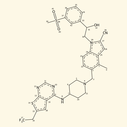 Cc1c(CN2CCC(Nc3ncnc4sc(CC(F)(F)F)cc34)CC2)ccc2c1cc(C#N)n2CC(O)c1cccc(S(C)(=O)=O)c1